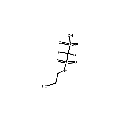 O=S(=O)(O)C(F)(F)S(=O)(=O)NCCO